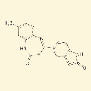 Bc1ccc2c(c1)NC(=O)CC(c1ccc3[nH]c(=O)sc3c1)=N2